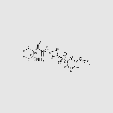 N[C@@H]1CCCC[C@@H]1C(=O)NC[C@H]1C[C@H](S(=O)(=O)c2cccc(OC(F)(F)F)c2)C1